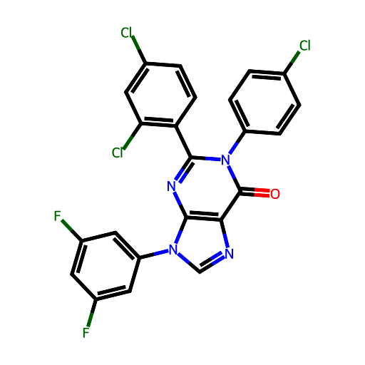 O=c1c2ncn(-c3cc(F)cc(F)c3)c2nc(-c2ccc(Cl)cc2Cl)n1-c1ccc(Cl)cc1